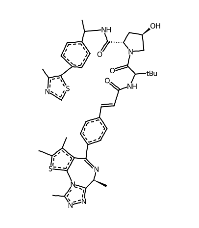 Cc1ncsc1-c1ccc(C(C)NC(=O)[C@@H]2C[C@@H](O)CN2C(=O)C(NC(=O)/C=C/c2ccc(C3=N[C@@H](C)c4nnc(C)n4-c4sc(C)c(C)c43)cc2)C(C)(C)C)cc1